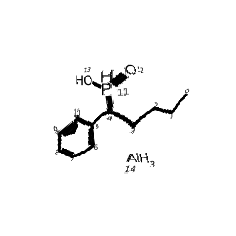 CCCCC(c1ccccc1)[PH](=O)O.[AlH3]